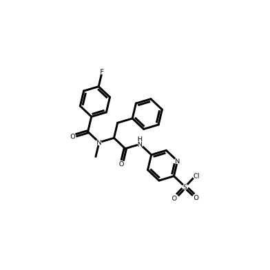 CN(C(=O)c1ccc(F)cc1)C(Cc1ccccc1)C(=O)Nc1ccc(S(=O)(=O)Cl)nc1